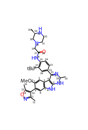 COc1cc2c3c([nH]c2cc1-c1c(C)noc1C)NC(C)N=C3c1ccc(NC(=O)CN2CCN[C@H](C)C2)c(C(C)(C)C)c1